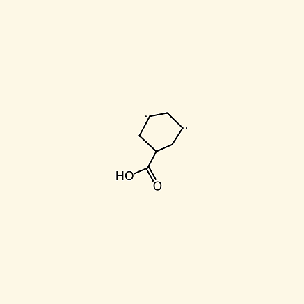 O=C(O)C1C[CH]C[CH]C1